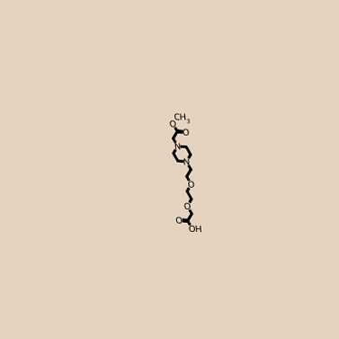 COC(=O)CN1CCN(CCOCCOCC(=O)O)CC1